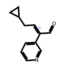 O=C/C(=C/CC1CC1)c1cccnc1